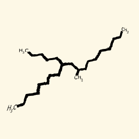 CCCCCCCCC(C)[CH]C(CCCCC)CCCCCCCC